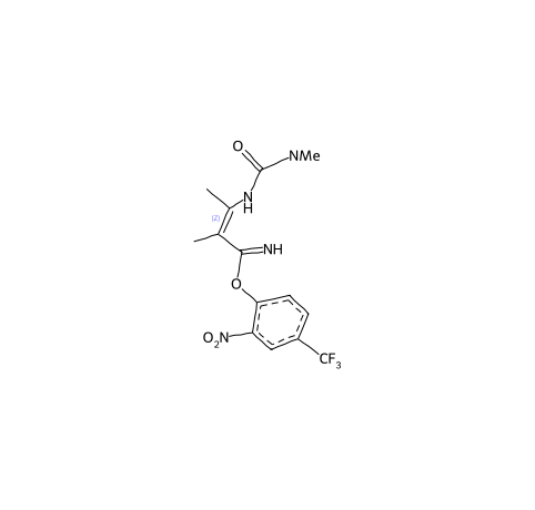 CNC(=O)N/C(C)=C(/C)C(=N)Oc1ccc(C(F)(F)F)cc1[N+](=O)[O-]